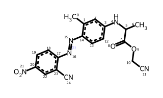 Cc1cc(NC(C)C(=O)OCC#N)ccc1/N=N/c1ccc([N+](=O)[O-])cc1C#N